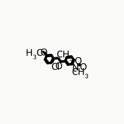 COc1ccc(Cl)c(C(C)C(=O)c2ccc3oc(=O)n(C)c3c2)c1